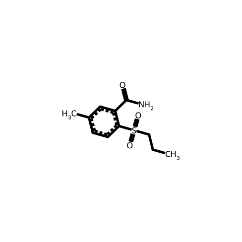 CCCS(=O)(=O)c1ccc(C)cc1C(N)=O